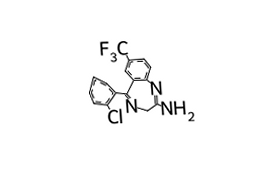 NC1=Nc2ccc(C(F)(F)F)cc2C(c2ccccc2Cl)=NC1